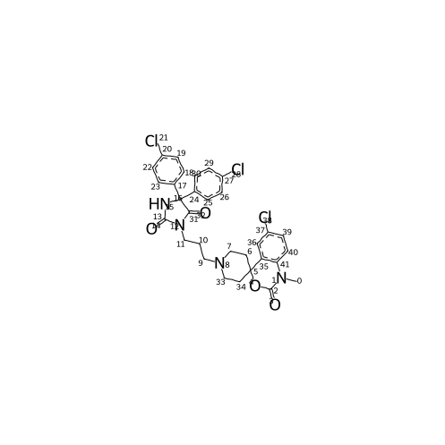 CN1C(=O)OC2(CCN(CCCN3C(=O)NC(c4ccc(Cl)cc4)(c4ccc(Cl)cc4)C3=O)CC2)c2cc(Cl)ccc21